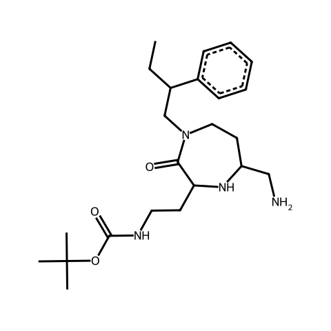 CCC(CN1CCC(CN)NC(CCNC(=O)OC(C)(C)C)C1=O)c1ccccc1